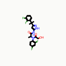 CC(C(=O)Nc1cc(C(C)(C)c2cccc(F)c2F)n[nH]1)N(C(=O)CO)c1ccc(F)cc1F